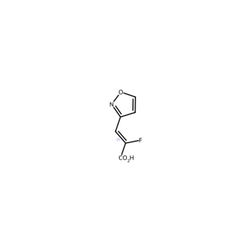 O=C(O)/C(F)=C/c1ccon1